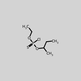 CCOP(=S)(Cl)OC(C)CC